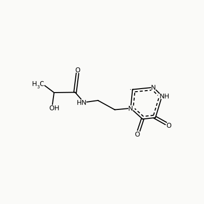 CC(O)C(=O)NCCn1[c]n[nH]c(=O)c1=O